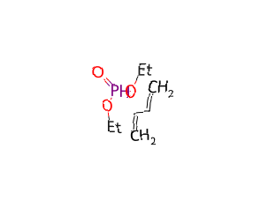 C=CC=C.CCO[PH](=O)OCC